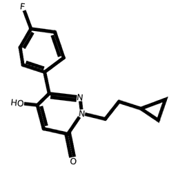 O=c1cc(O)c(-c2ccc(F)cc2)nn1CCC1CC1